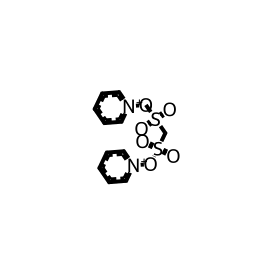 O=S(=O)(CS(=O)(=O)O[n+]1ccccc1)O[n+]1ccccc1